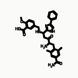 COc1ccc(CNC(CC(=O)C(N)Cc2c(C)cc(C(N)=O)cc2C)c2nc(-c3ccccc3)c[nH]2)cc1C(=O)O